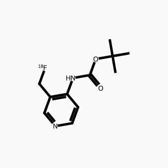 CC(C)(C)OC(=O)Nc1ccncc1C[18F]